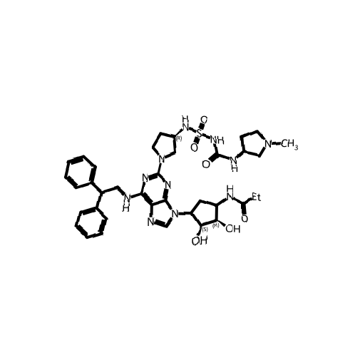 CCC(=O)NC1CC(n2cnc3c(NCC(c4ccccc4)c4ccccc4)nc(N4CC[C@@H](NS(=O)(=O)NC(=O)NC5CCN(C)C5)C4)nc32)[C@H](O)[C@@H]1O